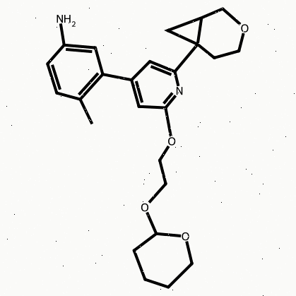 Cc1ccc(N)cc1-c1cc(OCCOC2CCCCO2)nc(C23CCOCC2C3)c1